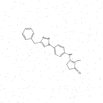 CC1=C(Nc2ccc(-n3cc(Cc4ccccc4)nn3)cc2)CCC1=O